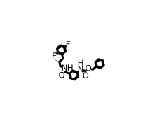 C[C@@H](CNC(=O)c1cccc(NC(=O)OCc2ccccc2)c1)Cc1cc(F)ccc1F